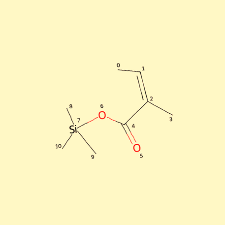 CC=C(C)C(=O)O[Si](C)(C)C